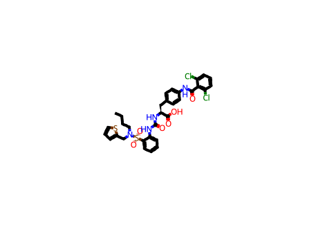 CCCCN(Cc1cccs1)S(=O)(=O)c1ccccc1NC(=O)N[C@@H](Cc1ccc(NC(=O)c2c(Cl)cccc2Cl)cc1)C(=O)O